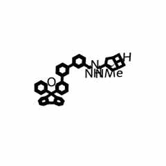 CN/C(=N\C(=N)c1cccc(-c2cccc(-c3cccc4c3Oc3ccccc3C43c4ccccc4-c4ccccc43)c2)c1)C12CC3C[C@H]4CC(C1)[C@@]34C2